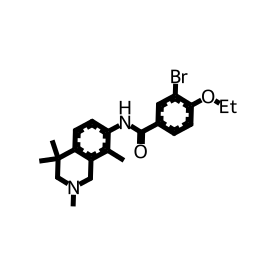 CCOc1ccc(C(=O)Nc2ccc3c(c2C)CN(C)CC3(C)C)cc1Br